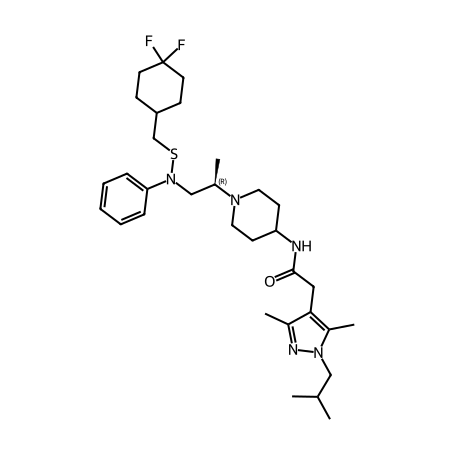 Cc1nn(CC(C)C)c(C)c1CC(=O)NC1CCN([C@H](C)CN(SCC2CCC(F)(F)CC2)c2ccccc2)CC1